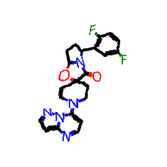 O=C1N2C(CCC2c2cc(F)ccc2F)OC12CCN(c1ccnc3ccnn13)CC2